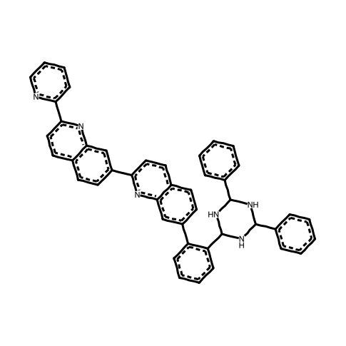 c1ccc(C2NC(c3ccccc3)NC(c3ccccc3-c3ccc4ccc(-c5ccc6ccc(-c7ccccn7)nc6c5)nc4c3)N2)cc1